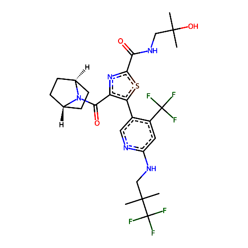 CC(C)(O)CNC(=O)c1nc(C(=O)N2[C@H]3CC[C@H]2CC3)c(-c2cnc(NCC(C)(C)C(F)(F)F)cc2C(F)(F)F)s1